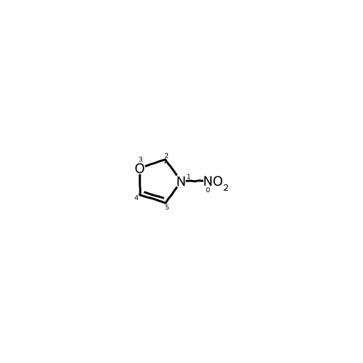 O=[N+]([O-])N1[CH]OC=C1